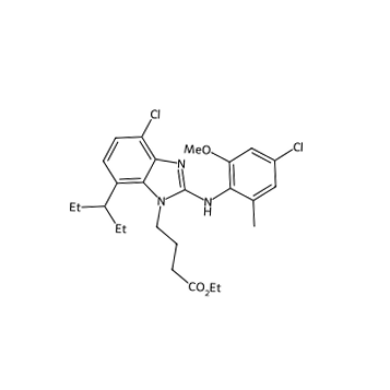 CCOC(=O)CCCn1c(Nc2c(C)cc(Cl)cc2OC)nc2c(Cl)ccc(C(CC)CC)c21